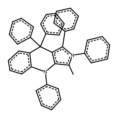 Cc1c2c(c(-c3ccccc3)n1-c1ccccc1)C(c1ccccc1)(c1ccccc1)c1ccccc1N2c1ccccc1